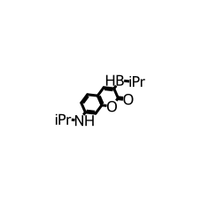 CC(C)Bc1cc2ccc(NC(C)C)cc2oc1=O